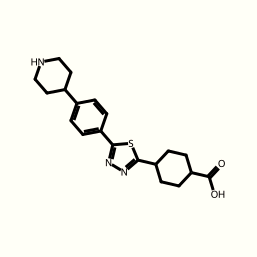 O=C(O)C1CCC(c2nnc(-c3ccc(C4CCNCC4)cc3)s2)CC1